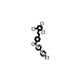 CCN1CCN(C2CCN(C(=O)c3ccc(/C=C/c4c(Cl)cc(Cl)cc4Cl)cc3)CC2)CC1